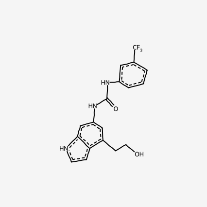 O=C(Nc1cccc(C(F)(F)F)c1)Nc1cc(CCO)c2cc[nH]c2c1